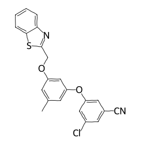 Cc1cc(OCc2nc3ccccc3s2)cc(Oc2cc(Cl)cc(C#N)c2)c1